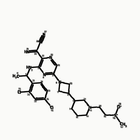 CC(Nc1nc(N2CC(C3CCCN(CC[S+](C)[O-])C3)C2)cnc1C(=N)C#N)c1ccc(Cl)cc1Cl